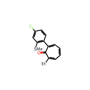 CCc1ccccc(-c2ccc(F)cc2SC)c1=O